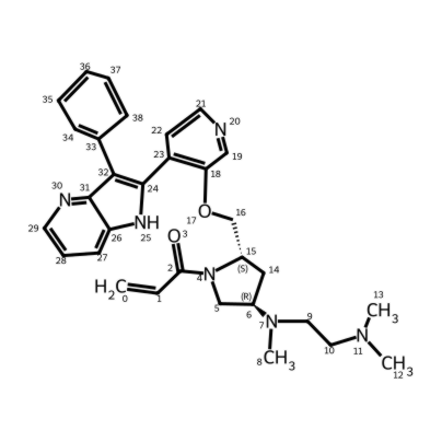 C=CC(=O)N1C[C@H](N(C)CCN(C)C)C[C@H]1COc1cnccc1-c1[nH]c2cccnc2c1-c1ccccc1